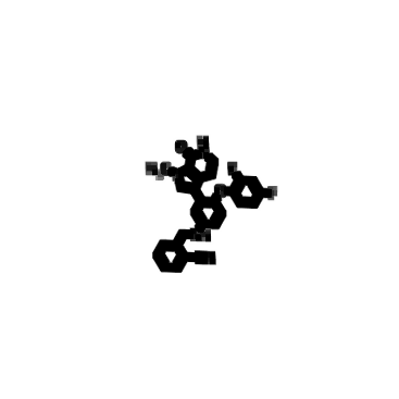 Cn1cc(-c2cc(NCc3ccccc3C#N)ccc2Oc2ccc(F)cc2F)c2cc[nH]c(=O)c21